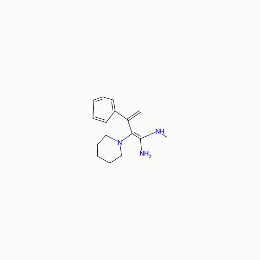 C=C(/C(=C(/N)NC)N1CCCCC1)c1ccccc1